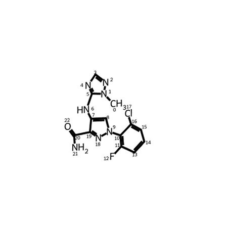 Cn1ncnc1Nc1cn(-c2c(F)cccc2Cl)nc1C(N)=O